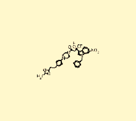 CC1OC(CCc2ccc(N3CCN(C(=O)CC(O)(c4cn(Cc5ccccc5)c5cc([N+](=O)[O-])ccc45)C(F)(F)F)CC3)cc2)O1